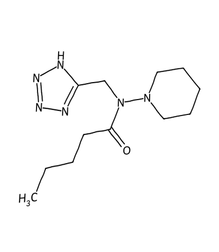 CCCCC(=O)N(Cc1nnn[nH]1)N1CCCCC1